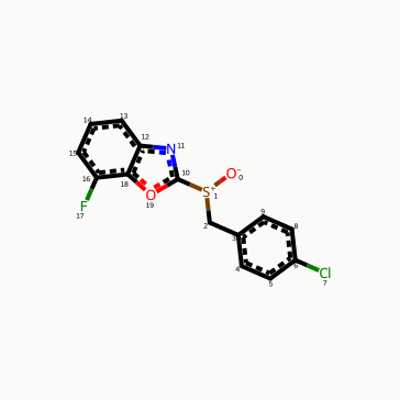 [O-][S+](Cc1ccc(Cl)cc1)c1nc2cccc(F)c2o1